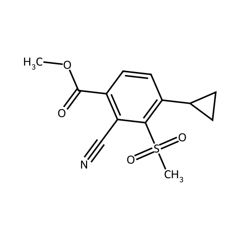 COC(=O)c1ccc(C2CC2)c(S(C)(=O)=O)c1C#N